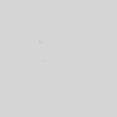 O=C1OCc2ccc(Br)c(Cl)c21